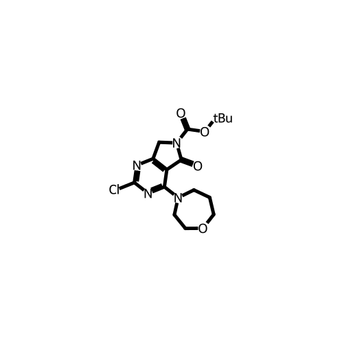 CC(C)(C)OC(=O)N1Cc2nc(Cl)nc(N3CCCOCC3)c2C1=O